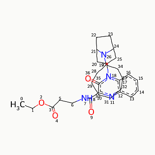 CCOC(=O)CCNC(=O)c1nc2ccccc2n(C2CC3CCC(C2)N3C2CCCCCCC2)c1=O